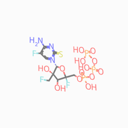 Nc1nc(=S)n([C@@H]2O[C@](F)(COP(=O)(O)OP(=O)(O)OP(=O)(O)O)C(O)[C@]2(O)CF)cc1F